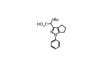 CCCCC(C(=O)O)c1nn(-c2ccccc2)c2c1CCC2